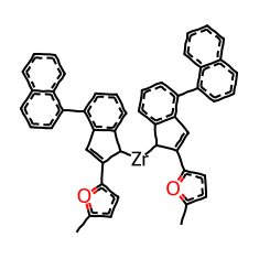 Cc1ccc(C2=Cc3c(-c4cccc5ccccc45)cccc3[CH]2[Zr][CH]2C(c3ccc(C)o3)=Cc3c(-c4cccc5ccccc45)cccc32)o1